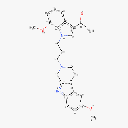 COc1ccc2[nH]c3c(c2c1)CCN(CCCn1cc(C(C)=O)c2cccc(OC)c21)C3